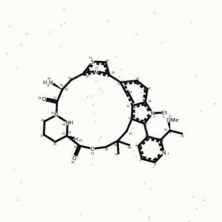 CCn1c(-c2cccnc2[C@H](C)OC)c2c3cc(ccc31)-c1csc(n1)C[C@H](N)C(=O)N1CCC[C@H](N1)C(=O)OCC(C)(C)C2